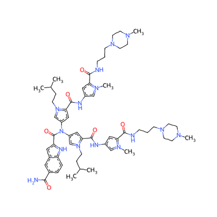 CC(C)CCn1cc(N(C(=O)c2cc3cc(C(N)=O)ccc3[nH]2)c2cc(C(=O)Nc3cc(C(=O)NCCCN4CCN(C)CC4)n(C)c3)n(CCC(C)C)c2)cc1C(=O)Nc1cc(C(=O)NCCCN2CCN(C)CC2)n(C)c1